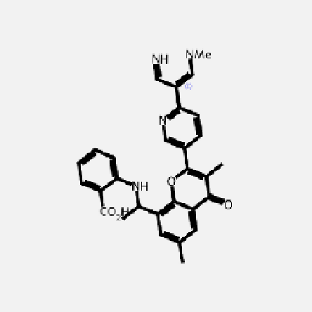 CN/C=C(\C=N)c1ccc(-c2oc3c(C(C)Nc4ccccc4C(=O)O)cc(C)cc3c(=O)c2C)cn1